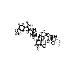 CC(C)(C)[Si](C)(C)O[C@H]1CCN(C(c2ccc(Cl)c(Cl)c2)c2cnc(NC(=O)C3(c4ccc5c(c4)OCO5)CC3)s2)C1